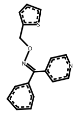 c1ccc(C(=NOCc2cccs2)c2ccncc2)cc1